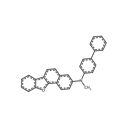 CN(c1ccc(-c2ccccc2)cc1)c1ccc2c(ccc3c4ccccc4oc23)c1